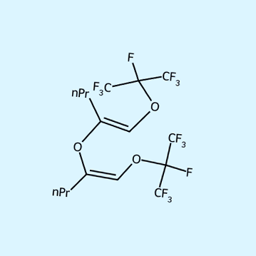 CCCC(=COC(F)(C(F)(F)F)C(F)(F)F)OC(=COC(F)(C(F)(F)F)C(F)(F)F)CCC